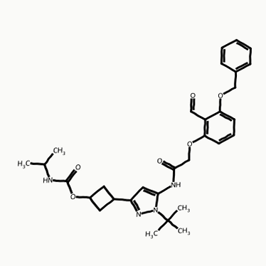 CC(C)NC(=O)OC1CC(c2cc(NC(=O)COc3cccc(OCc4ccccc4)c3C=O)n(C(C)(C)C)n2)C1